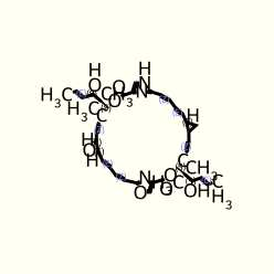 C/C=C/[C@H](O)C(C)(C)[C@@H]1C/C=C\[C@H]2O[C@H]2/C=C/C=C\c2nc(co2)C(=O)O[C@H](C(C)(C)[C@@H](O)/C=C/C)C/C=C\C2C[C@@H]2/C=C/C=C\c2nc(c[nH]2)C(=O)O1